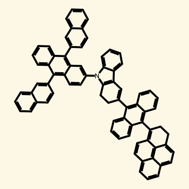 C1=C(c2c3ccccc3c(C3=c4ccc5cccc6ccc(c4c65)CC3)c3ccccc23)CCc2c1c1ccccc1n2-c1ccc2c(-c3ccc4ccccc4c3)c3ccccc3c(-c3ccc4ccccc4c3)c2c1